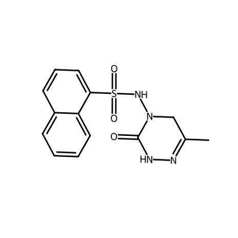 CC1=NNC(=O)N(NS(=O)(=O)c2cccc3ccccc23)C1